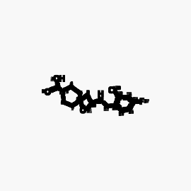 O=C(O)N1CCC2(CC1)CC(NCc1ccc(F)cc1Cl)CO2